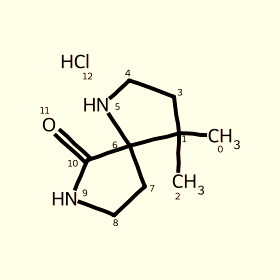 CC1(C)CCNC12CCNC2=O.Cl